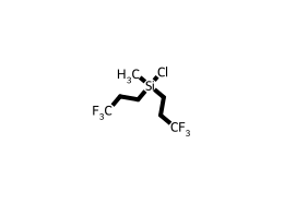 C[Si](Cl)(CCC(F)(F)F)CCC(F)(F)F